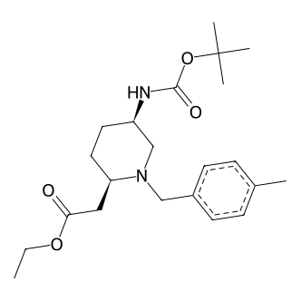 CCOC(=O)C[C@H]1CC[C@@H](NC(=O)OC(C)(C)C)CN1Cc1ccc(C)cc1